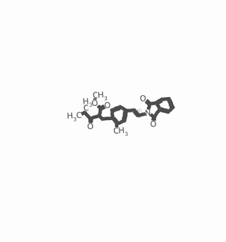 COC(=O)C(Cc1ccc(/C=C/N2C(=O)c3ccccc3C2=O)cc1C)C(=O)C(C)C